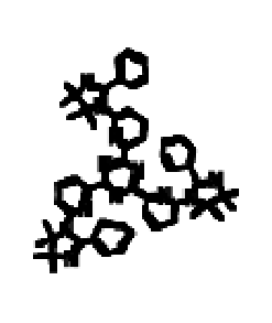 CC1(C)N=C(c2ccccc2)N(c2cccc(-c3nc(-c4cccc(N5C(c6ccccc6)=NC(C)(C)C5(C)C)n4)nc(-c4cccc(N5C(c6ccccc6)=NC(C)(C)C5(C)C)n4)n3)n2)C1(C)C